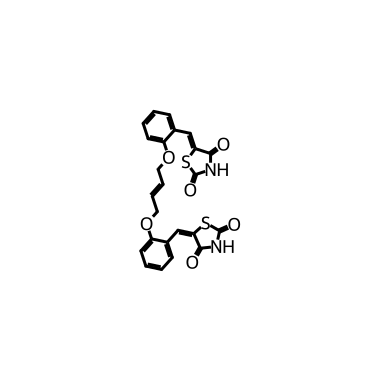 O=C1NC(=O)C(=Cc2ccccc2OCC=CCOc2ccccc2C=C2SC(=O)NC2=O)S1